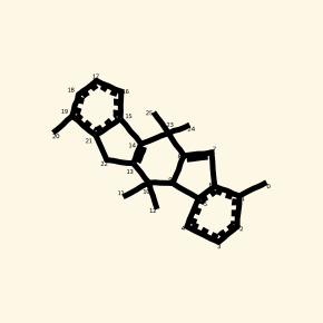 Cc1cccc2c1C=C1C2C(C)(C)C2=C(c3cccc(C)c3C2)C1(C)C